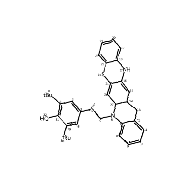 CC(C)(C)c1cc(SCN2c3ccccc3CC3C=C4Nc5ccccc5SC4=CC32)cc(C(C)(C)C)c1O